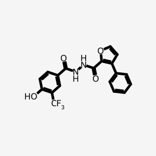 O=C(NNC(=O)c1occc1-c1ccccc1)c1ccc(O)c(C(F)(F)F)c1